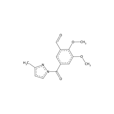 COc1cc(C(=O)n2ccc(C)n2)cc(C=O)c1OC